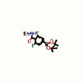 CCNC(=O)c1c(F)cc(B2OC(C)(C)C(C)(C)O2)cc1F